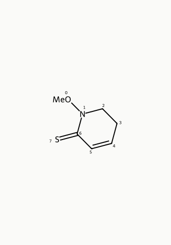 CON1CCC=CC1=S